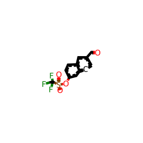 O=Cc1ccc2cc(OS(=O)(=O)C(F)(F)F)ccc2c1